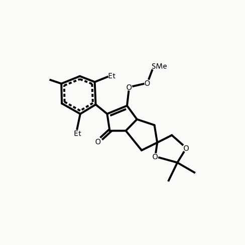 CCc1cc(C)cc(CC)c1C1=C(OOSC)C2CC3(COC(C)(C)O3)CC2C1=O